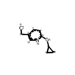 ClCc1ccc(OC2CC2)nc1